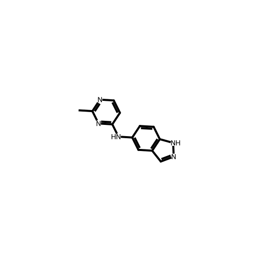 Cc1nccc(Nc2ccc3[nH]ncc3c2)n1